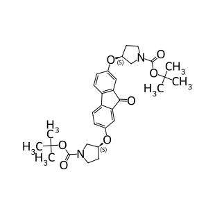 CC(C)(C)OC(=O)N1CC[C@H](Oc2ccc3c(c2)C(=O)c2cc(O[C@H]4CCN(C(=O)OC(C)(C)C)C4)ccc2-3)C1